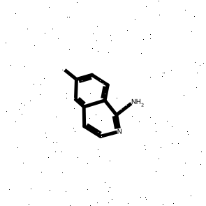 [CH2]c1ccc2c(N)nccc2c1